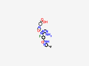 CC1(C(=O)O)CCC(N2CCO[C@@H](c3nc(-c4ccc(C(=O)Nc5cc(C6CC6)ccn5)cc4F)c4c(N)nccn34)C2)CC1